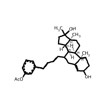 CC(=O)Oc1cccc(CCCCC2CC3=CC(O)CC[C@]3(C)[C@@H]3CC[C@@]4(C)[C@@H](CCC4(C)O)[C@H]23)c1